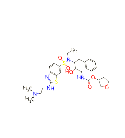 CC(C)CN(C(Cc1ccccc1)C(O)CNC(=O)OC1CCOC1)S(=O)(=O)c1ccc2nc(NCCN(C)C)sc2c1